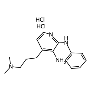 CN(C)CCCc1ccnc(Nc2ccccc2)c1N.Cl.Cl